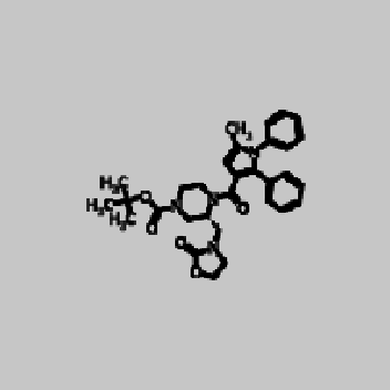 Cc1cc(C(=O)N2CCN(C(=O)OC(C)(C)C)C[C@H]2CN2CCOC2=O)c(-c2ccccc2)n1-c1ccccc1